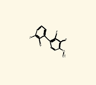 CCOc1ccc(-c2cccc(F)c2F)c(F)c1F